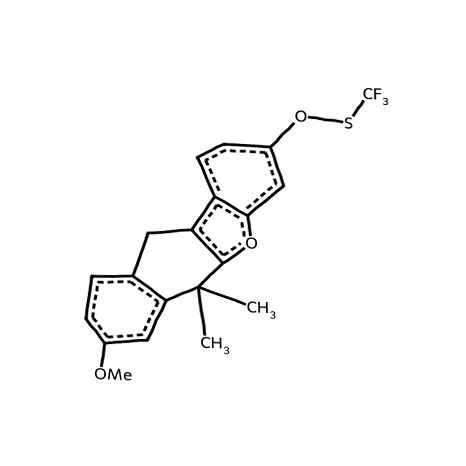 COc1ccc2c(c1)C(C)(C)c1oc3cc(OSC(F)(F)F)ccc3c1C2